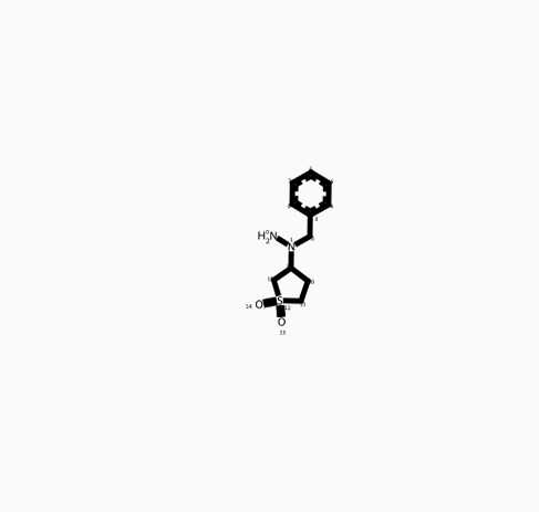 NN(Cc1ccccc1)C1CCS(=O)(=O)C1